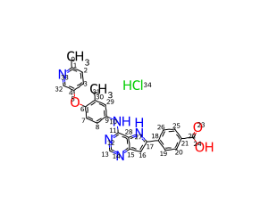 Cc1ccc(Oc2ccc(Nc3ncnc4cc(-c5ccc(C(=O)O)cc5)[nH]c34)cc2C)cn1.Cl